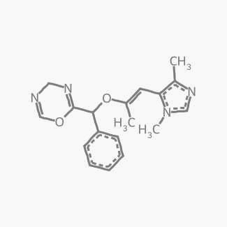 C/C(=C\c1c(C)ncn1C)OC(C1=NCN=CO1)c1ccccc1